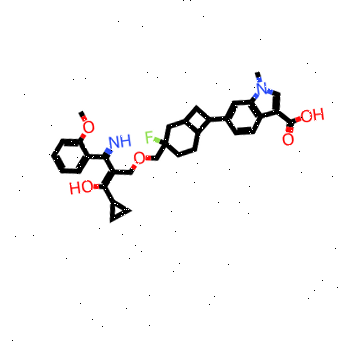 COc1ccccc1C(=N)/C(COCC1(F)CCC2C(CC2c2ccc3c(C(=O)O)cn(C)c3c2)C1)=C(\O)C1CC1